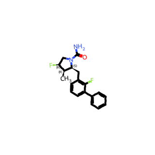 C[C@H]1[C@@H](F)CN(C(N)=O)[C@H]1Cc1cccc(-c2ccccc2)c1F